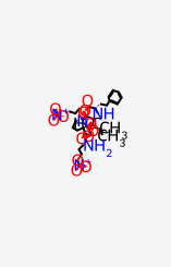 CC(C)(C)OC(=O)[C@@]1(C(=O)OCCCO[N+](=O)[O-])CCCN1C(=O)[C@H](CCCCN)N[C@@H](CCc1ccccc1)C(=O)OCCCO[N+](=O)[O-]